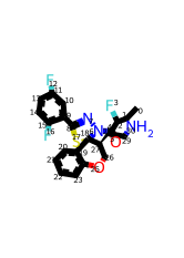 CCC(F)C(=O)N1N=C(c2cc(F)ccc2F)S[C@]12c1ccccc1OC[C@@H]2CCN